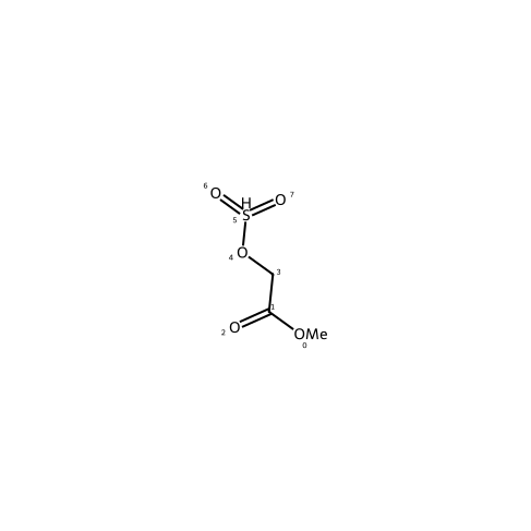 COC(=O)CO[SH](=O)=O